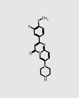 CSc1ccc(-c2cc(=O)n3cc(N4CCNCC4)ccc3n2)cc1F